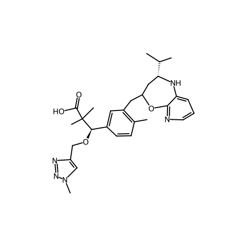 Cc1ccc([C@@H](OCc2cn(C)nn2)C(C)(C)C(=O)O)cc1CC1C[C@H](C(C)C)Nc2cccnc2O1